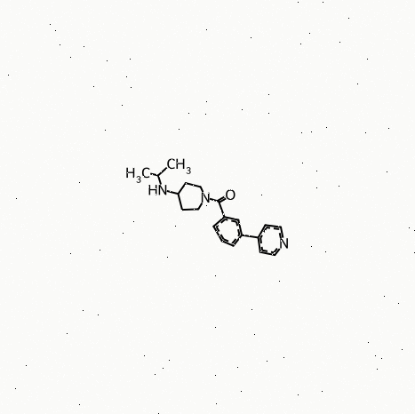 CC(C)NC1CCN(C(=O)c2cccc(-c3ccncc3)c2)CC1